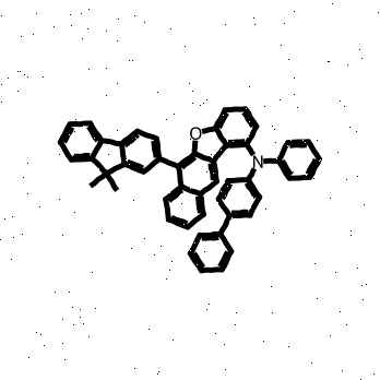 CC1(C)c2ccccc2-c2ccc(-c3c4ccccc4cc4c3oc3cccc(N(c5ccccc5)c5ccc(-c6ccccc6)cc5)c34)cc21